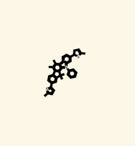 CC1=CCC(c2ccc3c4c(C)c(C)c5c(c4n(-c4ccccc4)c3c2)C(C)(C)c2cc(-c3ccc(C)s3)ccc2-5)S1